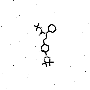 CC(C)(C)OC(=O)N(CCC1CC=C(B2OC(C)(C)C(C)(C)O2)CC1)C1CCOCC1